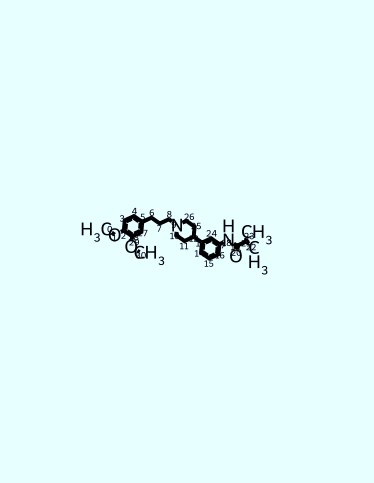 COc1ccc(CCCN2CCC(c3cccc(NC(=O)C(C)C)c3)CC2)cc1OC